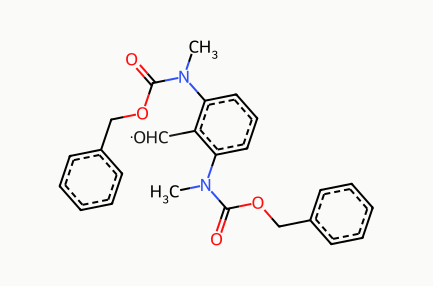 CN(C(=O)OCc1ccccc1)c1cccc(N(C)C(=O)OCc2ccccc2)c1[C]=O